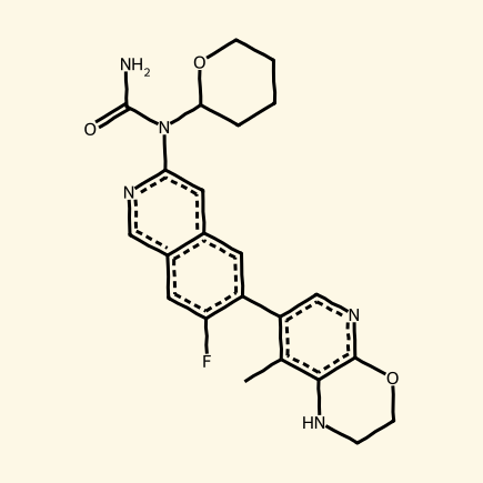 Cc1c(-c2cc3cc(N(C(N)=O)C4CCCCO4)ncc3cc2F)cnc2c1NCCO2